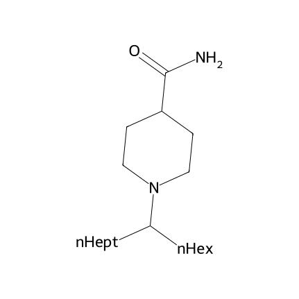 CCCCCCCC(CCCCCC)N1CCC(C(N)=O)CC1